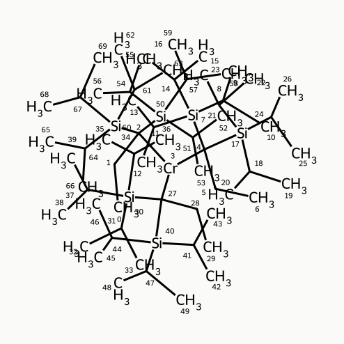 CC[C]([Cr]([C](CC)([Si](C(C)C)(C(C)C)C(C)C)[Si](C(C)C)(C(C)C)C(C)C)[C](CC)([Si](C(C)C)(C(C)C)C(C)C)[Si](C(C)C)(C(C)C)C(C)C)([Si](C(C)C)(C(C)C)C(C)C)[Si](C(C)C)(C(C)C)C(C)C